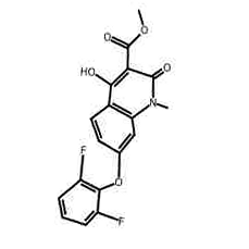 COC(=O)c1c(O)c2ccc(Oc3c(F)cccc3F)cc2n(C)c1=O